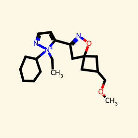 CC[N+]1(C2CCCCC2)N=CC=C1C1=NOC2(C1)CC(COC)C2